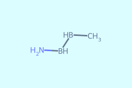 CBBN